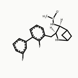 C[S+]([O-])N[C@H]1C2CC(C2)N[C@H]1Cc1cccc(-c2cccc(F)c2)c1F